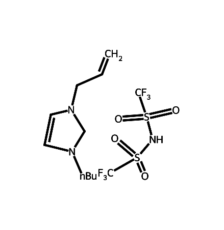 C=CCN1C=CN(CCCC)C1.O=S(=O)(NS(=O)(=O)C(F)(F)F)C(F)(F)F